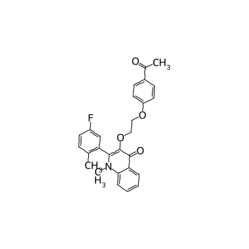 CC(=O)c1ccc(OCCOc2c(-c3cc(F)ccc3C)n(C)c3ccccc3c2=O)cc1